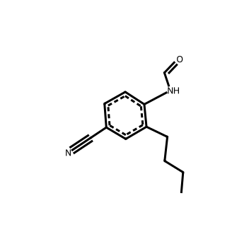 CCCCc1cc(C#N)ccc1NC=O